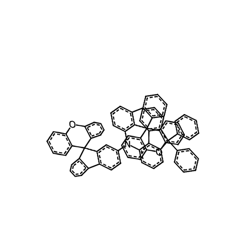 c1ccc(C2(c3ccccc3)c3ccccc3-c3c(N(c4ccc5c(c4)C4(c6ccccc6Oc6ccccc64)c4ccccc4-5)c4cccc5c4C4(c6ccccc6Oc6ccccc64)c4ccccc4-5)cccc32)cc1